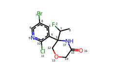 CC(F)C1(c2cc(Br)cnc2Cl)COCC(=O)N1